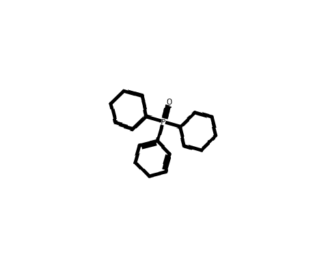 O=P(C1=CCCC=C1)(C1CCCCC1)C1CCCCC1